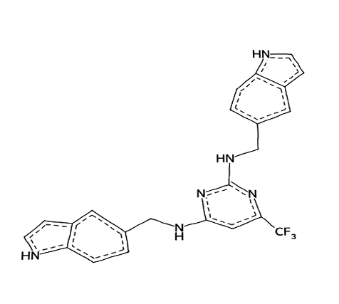 FC(F)(F)c1cc(NCc2ccc3[nH]ccc3c2)nc(NCc2ccc3[nH]ccc3c2)n1